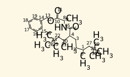 CC(CCC(C(=O)N[C@@H](C)C(=O)OCc1ccccc1)C(C)CC(C)(C)C)CC(C)(C)C